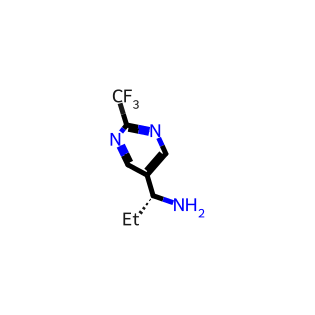 CC[C@@H](N)c1cnc(C(F)(F)F)nc1